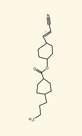 CCCCC1CCC(C(=O)OC2CCC(/C=C/C#N)CC2)CC1